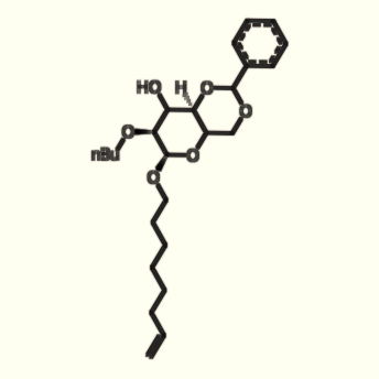 C=CCCCCCCO[C@@H]1OC2COC(c3ccccc3)O[C@@H]2C(O)[C@@H]1OCCCC